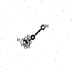 CC(C)(N)[C@H](NC(=O)c1ccc(C#CC#CC2CCNCC2)cc1)C(=O)NO